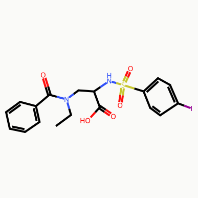 CCN(CC(NS(=O)(=O)c1ccc(I)cc1)C(=O)O)C(=O)c1ccccc1